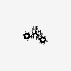 B.F.F.c1ccc2oc(Cc3nc4ccccc4s3)nc2c1